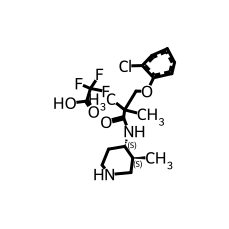 C[C@H]1CNCC[C@@H]1NC(=O)C(C)(C)COc1ccccc1Cl.O=C(O)C(F)(F)F